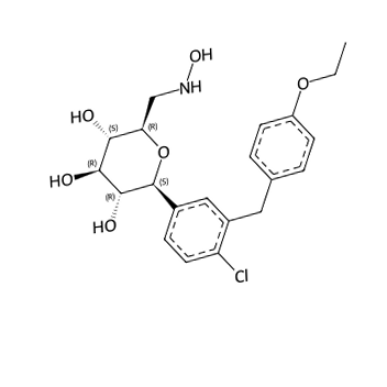 CCOc1ccc(Cc2cc([C@@H]3O[C@H](CNO)[C@@H](O)[C@H](O)[C@H]3O)ccc2Cl)cc1